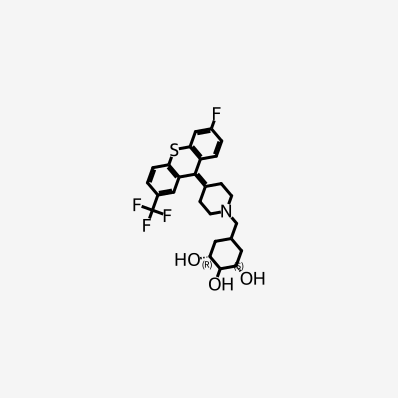 OC1[C@H](O)CC(CN2CCC(=C3c4ccc(F)cc4Sc4ccc(C(F)(F)F)cc43)CC2)C[C@@H]1O